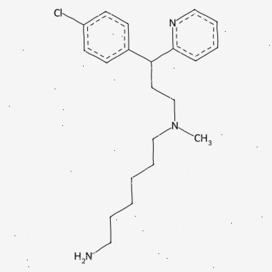 CN(CCCCCCN)CCC(c1ccc(Cl)cc1)c1ccccn1